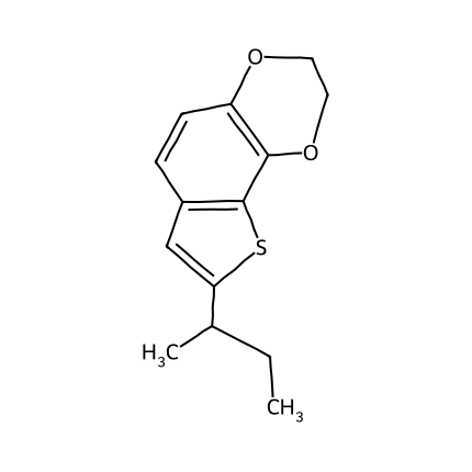 CCC(C)c1cc2ccc3c(c2s1)OCCO3